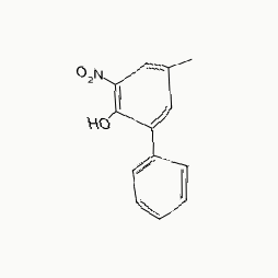 Cc1cc(-c2ccccc2)c(O)c([N+](=O)[O-])c1